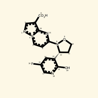 O=C(O)c1cnn2ccc(N3OCC[C@@H]3c3cc(F)cnc3O)nc12